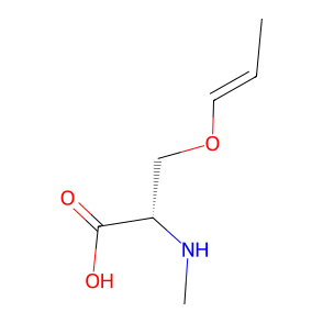 CC=COC[C@H](NC)C(=O)O